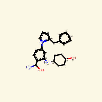 NC(O)c1ccc(-n2cccc2Cc2ccccc2)cc1N[C@H]1CC[C@H](O)CC1